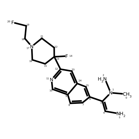 CN(N)/C(=C\N)c1ccc2cnc(C3(F)CCN(CCF)CC3)cc2c1